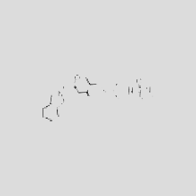 CN(C)S(=O)(=O)N1CCC(COc2coc(CN3Cc4ccccc4C3)cc2=O)CC1